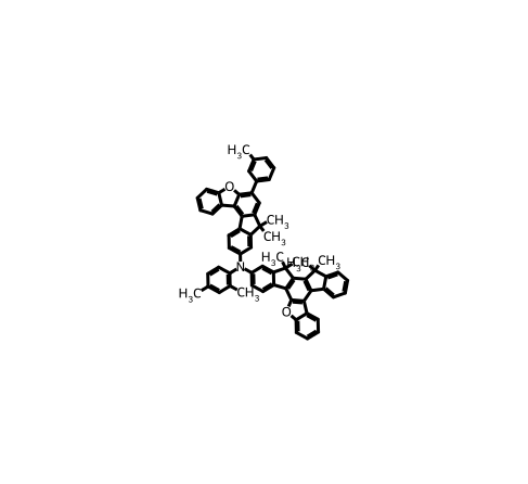 Cc1cccc(-c2cc3c(c4c2oc2ccccc24)-c2ccc(N(c4ccc5c(c4)C(C)(C)c4c6c(c7c(oc8ccccc87)c4-5)-c4ccccc4C6(C)C)c4ccc(C)cc4C)cc2C3(C)C)c1